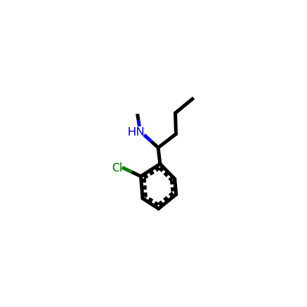 CCCC(NC)c1ccccc1Cl